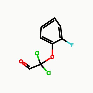 O=[C]C(Cl)(Cl)Oc1ccccc1F